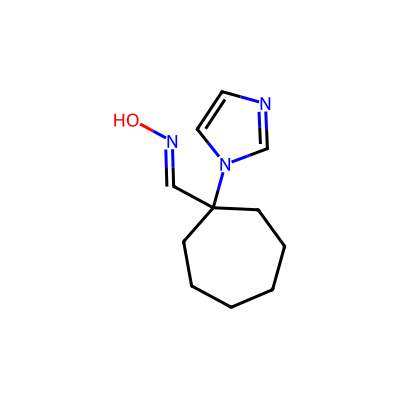 ON=CC1(n2ccnc2)CCCCCC1